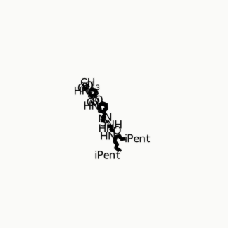 CCCC(C)CCCCC(CCC(C)CCC)NC(=O)NNc1nc(-c2cccc(NS(=O)(=O)c3cccc(NS(C)(=O)=O)c3)c2)ns1